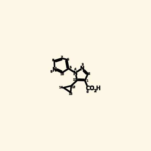 O=C(O)c1cnn(-c2cccnc2)c1C1CC1